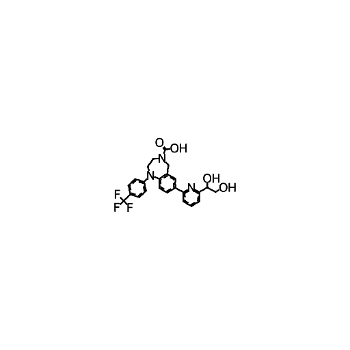 O=C(O)N1CCN(c2ccc(C(F)(F)F)cc2)c2ccc(-c3cccc(C(O)CO)n3)cc2C1